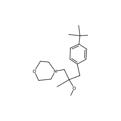 COC(C)(Cc1ccc(C(C)(C)C)cc1)CN1CCOCC1